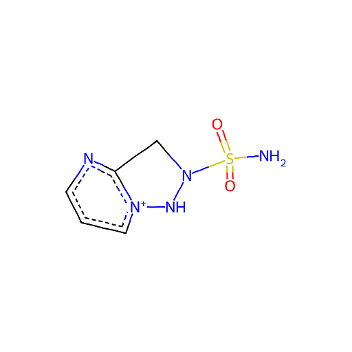 NS(=O)(=O)N1Cc2nccc[n+]2N1